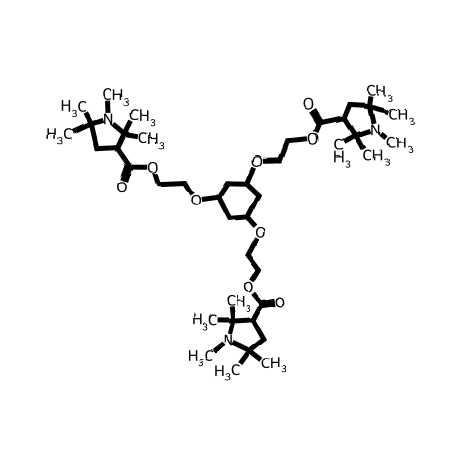 CN1C(C)(C)CC(C(=O)OCCOC2CC(OCCOC(=O)C3CC(C)(C)N(C)C3(C)C)CC(OCCOC(=O)C3CC(C)(C)N(C)C3(C)C)C2)C1(C)C